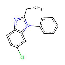 CCc1nc2ccc(Cl)cc2n1-c1ccccc1